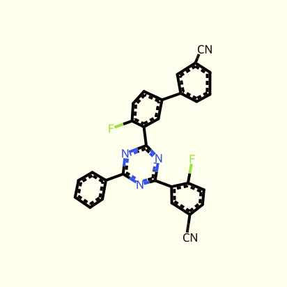 N#Cc1cccc(-c2ccc(F)c(-c3nc(-c4ccccc4)nc(-c4cc(C#N)ccc4F)n3)c2)c1